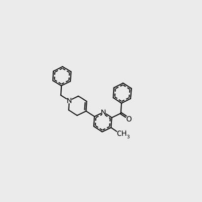 Cc1ccc(C2=CCN(Cc3ccccc3)CC2)nc1C(=O)c1ccccc1